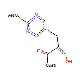 COC(=O)C(=CO)Cc1cnc(OC)nc1